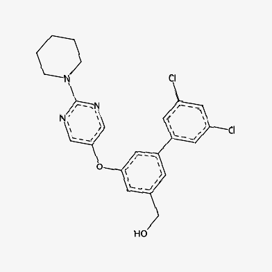 OCc1cc(Oc2cnc(N3CCCCC3)nc2)cc(-c2cc(Cl)cc(Cl)c2)c1